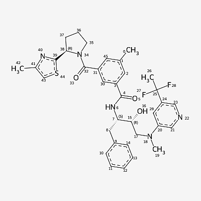 Cc1cc(C(=O)N[C@@H](Cc2ccccc2)[C@H](O)CN(C)c2cncc(C(C)(F)F)c2)cc(C(=O)N2CCC[C@@H]2c2nc(C)cs2)c1